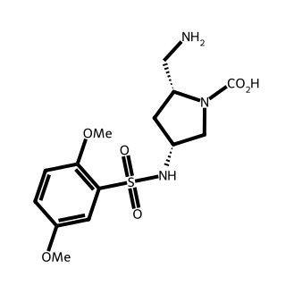 COc1ccc(OC)c(S(=O)(=O)N[C@@H]2C[C@H](CN)N(C(=O)O)C2)c1